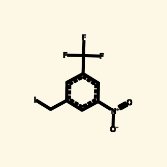 O=[N+]([O-])c1cc(CI)cc(C(F)(F)F)c1